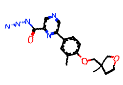 Cc1cc(-c2cncc(C(=O)N=[N+]=[N-])n2)ccc1OCC1(C)CCOC1